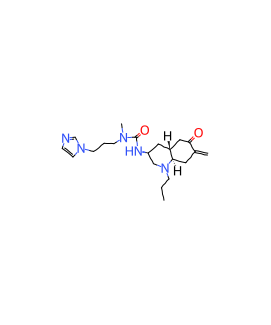 C=C1C[C@@H]2[C@@H](CC1=O)C[C@H](NC(=O)N(C)CCCn1ccnc1)CN2CCC